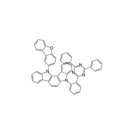 c1ccc(-c2nc(-c3ccccc3)nc(-c3ccccc3-n3c4ccccc4c4c3ccc3c5ccccc5n(-c5ccc6oc7ccccc7c6c5)c34)n2)cc1